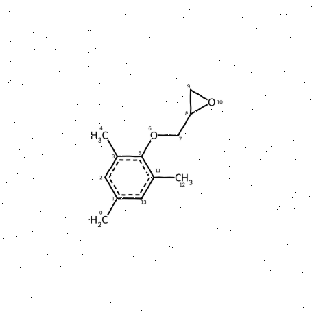 [CH2]c1cc(C)c(OCC2CO2)c(C)c1